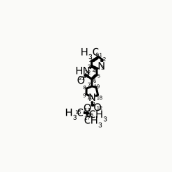 Cc1cnc2cc(C3CCN(C(=O)OC(C)(C)C)CC3)c(=O)[nH]c2c1